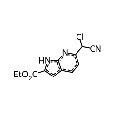 CCOC(=O)c1cc2ccc(C(Cl)C#N)nc2[nH]1